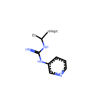 CCCCCCCC(CC)NC(=N)Nc1cccnc1